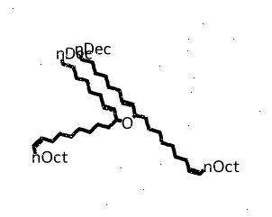 CCCCCCCC/C=C\CCCCCCCC(C=CCCCCCCCCCCCCCCCC)OC(C=CCCCCCCCCCCCCCCCC)CCCCCCC/C=C\CCCCCCCC